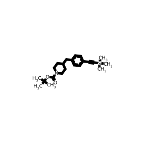 CC(C)(C)OC(=O)N1CCC(Cc2ccc(C#C[Si](C)(C)C)cc2)CC1